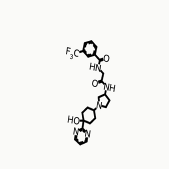 O=C(CNC(=O)c1cccc(C(F)(F)F)c1)NC1CCN(C2CCC(O)(c3ncccn3)CC2)C1